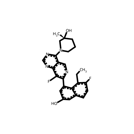 CCc1c(F)ccc2cc(O)cc(-c3ncc4c(N5CCC[C@@](C)(O)C5)ncnc4c3F)c12